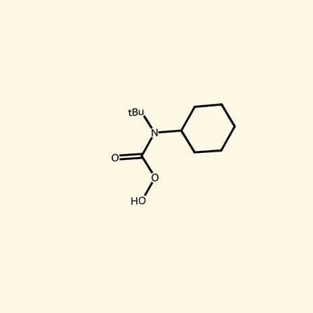 CC(C)(C)N(C(=O)OO)C1CCCCC1